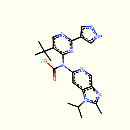 Cc1nc2cnc(N(C(=O)O)c3nc(-c4cn[nH]c4)ncc3C(C)(C)C)cc2n1C(C)C